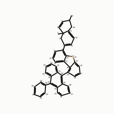 CC1C=CC2(C)CC(c3cccc4c3sc3cccc(-c5c6ccccc6c(-c6ccccc6)c6ccccc56)c34)=CC=C2C1